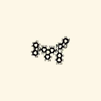 c1ccc(-c2cc(N(c3ccc4ccccc4c3)c3cc4oc5ccccc5c4cn3)ccc2-c2ccc(-n3c4ccccc4c4ccccc43)cc2)cc1